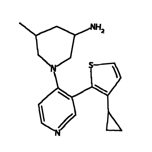 CC1CC(N)CN(c2ccncc2-c2sccc2C2CC2)C1